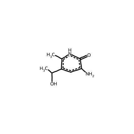 Cc1[nH]c(=O)c(N)cc1C(C)O